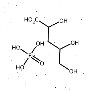 O=C(O)C(O)CC(O)CO.O=P(O)(O)O